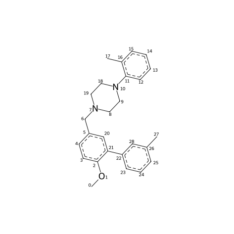 COc1ccc(CN2CCN(c3ccccc3C)CC2)cc1-c1cccc(C)c1